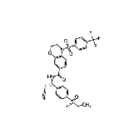 CCS(=O)(=O)c1ccc([C@H](CC#N)NC(=O)c2ccc3c(c2)OCCN3S(=O)(=O)c2ccc(C(F)(F)F)cc2)cc1